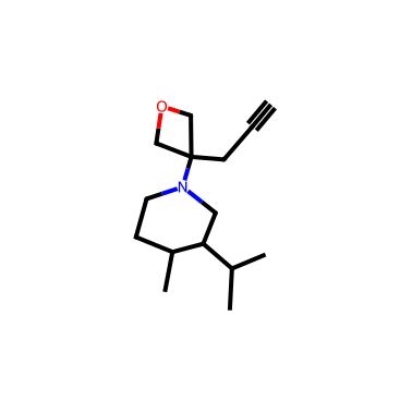 C#CCC1(N2CCC(C)C(C(C)C)C2)COC1